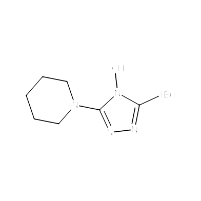 Cn1c(N2CCCCC2)nnc1C(C)(C)C